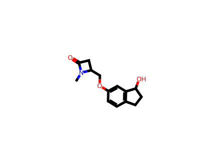 CN1C(=O)CC1COc1ccc2c(c1)C(O)CC2